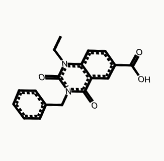 CCn1c(=O)n(Cc2ccccc2)c(=O)c2cc(C(=O)O)ccc21